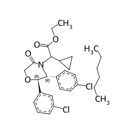 CCCCCC.CCOC(=O)C(C1CC1)N1C(=O)CO[C@H](c2cccc(Cl)c2)[C@H]1c1ccc(Cl)cc1